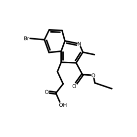 CCOC(=O)c1c(C)nc2ccc(Br)cc2c1CCC(=O)O